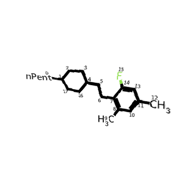 CCCCCC1CCC(CCc2c(C)cc(C)cc2F)CC1